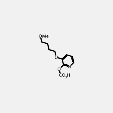 COCCCCOc1cccnc1OC(=O)O